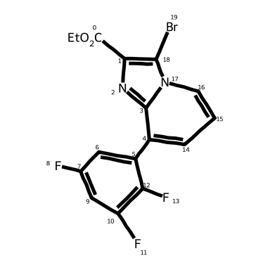 CCOC(=O)c1nc2c(-c3cc(F)cc(F)c3F)cccn2c1Br